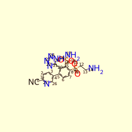 N#Cc1ccc(-c2ccc(S(=O)(=O)CCN)c(S(N)(=O)=O)c2-c2nnn[nH]2)cn1